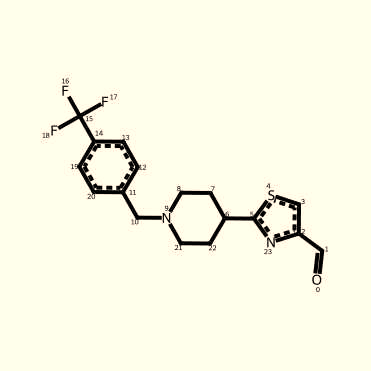 O=Cc1csc(C2CCN(Cc3ccc(C(F)(F)F)cc3)CC2)n1